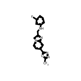 Fc1cccc(NCc2cn3ccc(-c4nnc(C(F)(F)F)o4)cc3n2)c1